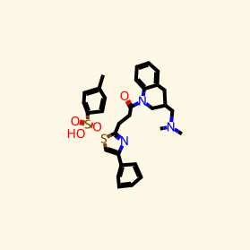 CN(C)CC1Cc2ccccc2N(C(=O)CCc2nc(-c3ccccc3)cs2)C1.Cc1ccc(S(=O)(=O)O)cc1